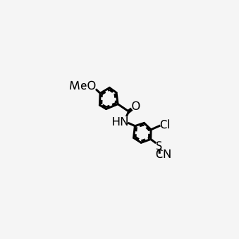 COc1ccc(C(=O)Nc2ccc(SC#N)c(Cl)c2)cc1